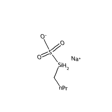 CCCC[SiH2]S(=O)(=O)[O-].[Na+]